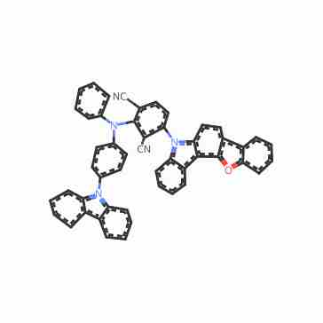 N#Cc1ccc(-n2c3ccccc3c3c4oc5ccccc5c4ccc32)c(C#N)c1N(c1ccccc1)c1ccc(-n2c3ccccc3c3ccccc32)cc1